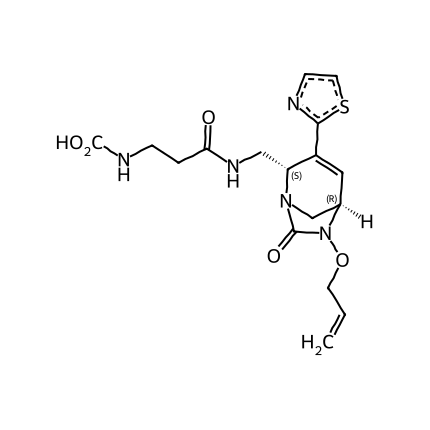 C=CCON1C(=O)N2C[C@H]1C=C(c1nccs1)[C@H]2CNC(=O)CCNC(=O)O